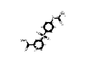 CNC(=O)c1cc(S(=O)(=O)c2ccc(OC(N)=O)cc2)ccn1